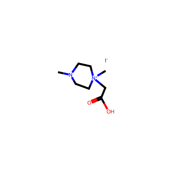 CN1CC[N+](C)(CC(=O)O)CC1.[I-]